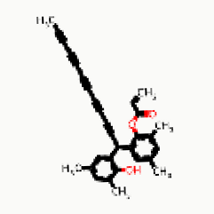 C=CC(=O)Oc1c(C)cc(C)cc1C(C#CC#CC#CC#CC#CC)c1cc(C)cc(C)c1O